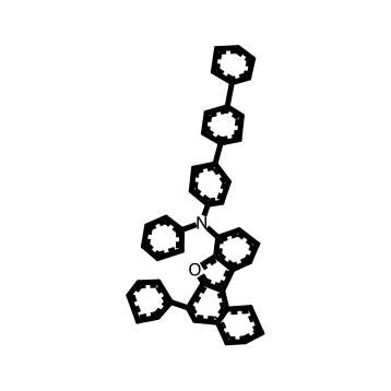 c1ccc(-c2ccc(-c3ccc(N(c4ccccc4)c4cccc5c4oc4c(-c6ccccc6)cc6ccccc6c45)cc3)cc2)cc1